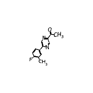 CC(=O)c1cnc(-c2ccc(F)c(C)c2)cn1